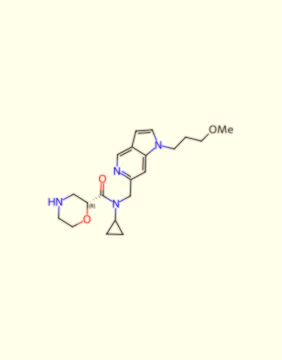 COCCCn1ccc2cnc(CN(C(=O)[C@H]3CNCCO3)C3CC3)cc21